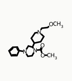 COCCN1CCC(C2CN(c3ccccc3)CCN2C(=O)OC)CC1